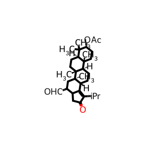 CC(=O)O[C@H]1CC[C@]2(C)[C@H]3CC[C@@H]4C5=C(C(C)C)C(=O)CC5C(C=O)C[C@@]4(C)[C@]3(C)CC[C@H]2C1(C)C